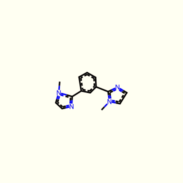 Cn1ccnc1-c1cccc(-c2nccn2C)c1